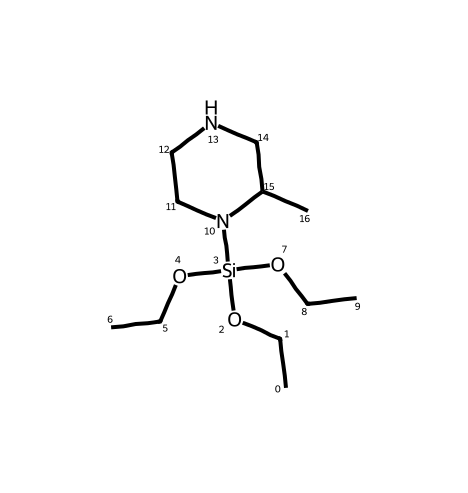 CCO[Si](OCC)(OCC)N1CCNCC1C